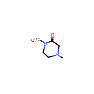 CN1CCN(C=O)C(=O)C1